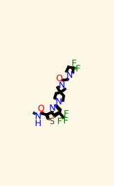 CNC(=O)c1csc2c(C(F)(F)F)cc(N3CCC4(CC3)CN(C(=O)CN3CCC(F)(F)C3)C4)nc12